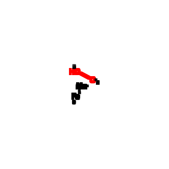 [Fe].[Mn].[O]O